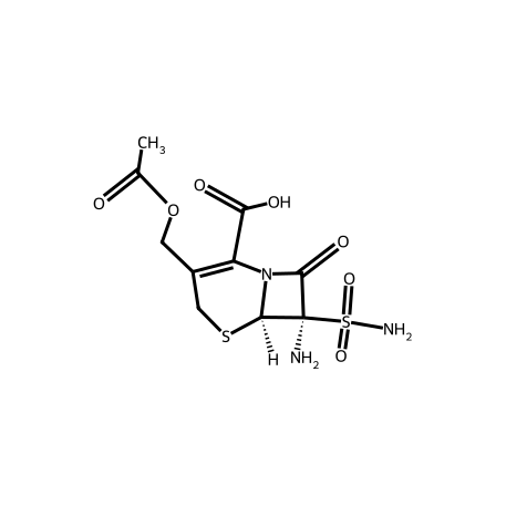 CC(=O)OCC1=C(C(=O)O)N2C(=O)[C@@](N)(S(N)(=O)=O)[C@H]2SC1